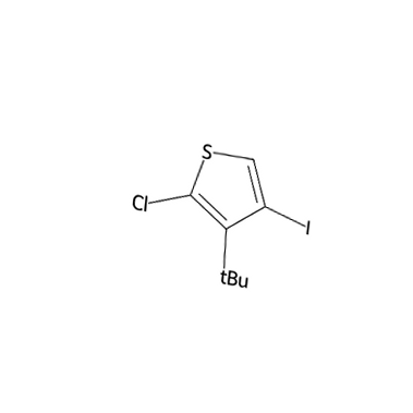 CC(C)(C)c1c(I)csc1Cl